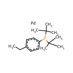 CCc1ccc(P(C(C)(C)C)C(C)(C)C)cc1.[Pd]